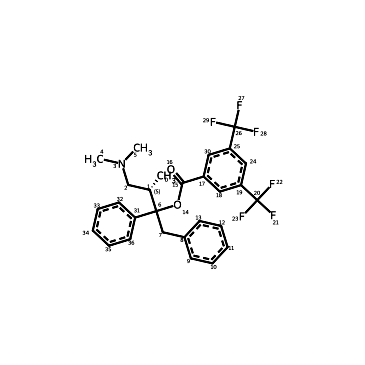 C[C@@H](CN(C)C)C(Cc1ccccc1)(OC(=O)c1cc(C(F)(F)F)cc(C(F)(F)F)c1)c1ccccc1